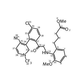 COC(=O)CCCc1cccc(OC)c1NCC(=O)c1ccc(Cl)cc1C1=C(C#N)C=CN(C(F)(F)F)C1